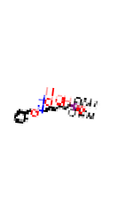 COP(=O)(CC[C@@H](O)C[C@@H](O)CNOCc1ccccc1)OC